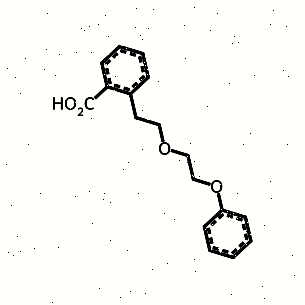 O=C(O)c1ccccc1CCOCCOc1ccccc1